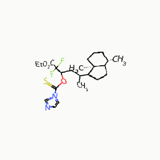 CCOC(=O)C(F)(F)C(CC(C)C1CCC2[C@@H](C)CCC[C@]12C)OC(=S)n1ccnc1